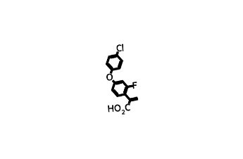 C=C(C(=O)O)c1ccc(Oc2ccc(Cl)cc2)cc1F